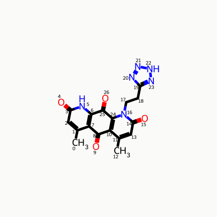 Cc1cc(=O)[nH]c2c1C(=O)c1c(C)cc(=O)n(CCc3nn[nH]n3)c1C2=O